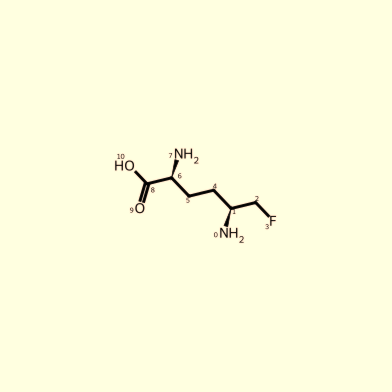 N[C@H](CF)CC[C@H](N)C(=O)O